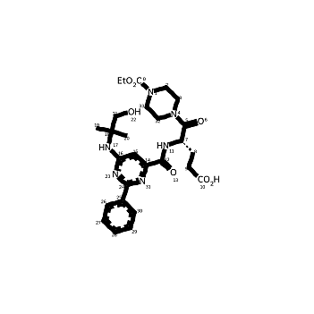 CCOC(=O)N1CCN(C(=O)[C@H](CCC(=O)O)NC(=O)c2cc(NC(C)(C)CO)nc(-c3ccccc3)n2)CC1